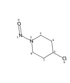 O=NN1CCC(Cl)CC1